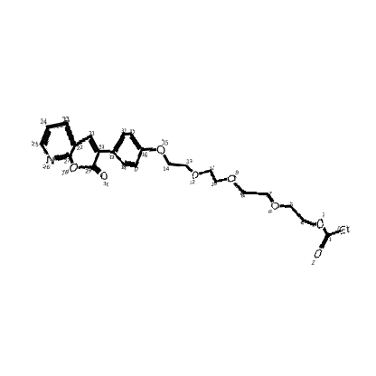 CCC(=O)OCCOCCOCCOCCOc1ccc(-c2cc3cccnc3oc2=O)cc1